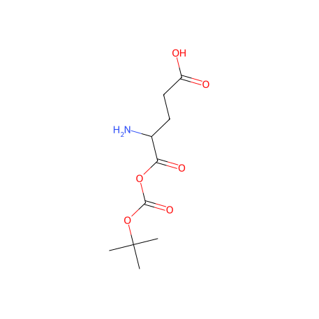 CC(C)(C)OC(=O)OC(=O)C(N)CCC(=O)O